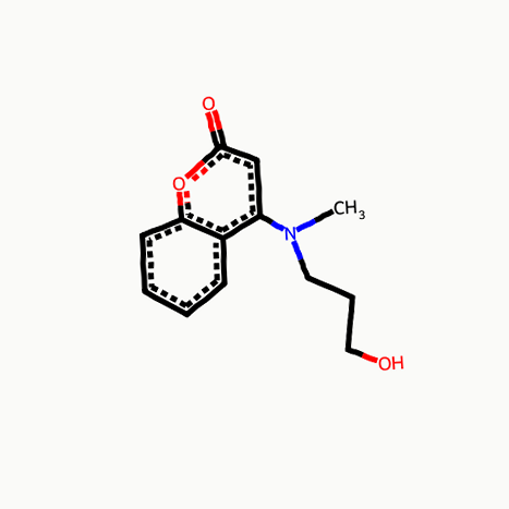 CN(CCCO)c1cc(=O)oc2ccccc12